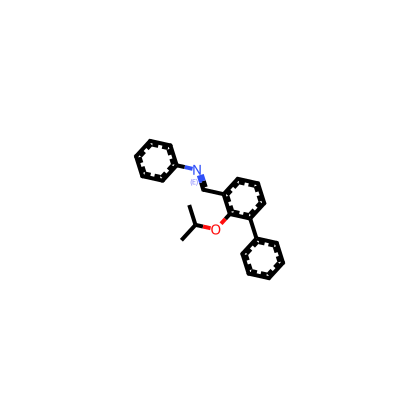 CC(C)Oc1c(/C=N/c2ccccc2)cccc1-c1ccccc1